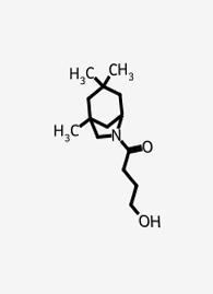 CC1(C)CC2CC(C)(CN2C(=O)CCCO)C1